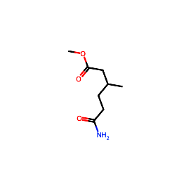 COC(=O)CC(C)CCC(N)=O